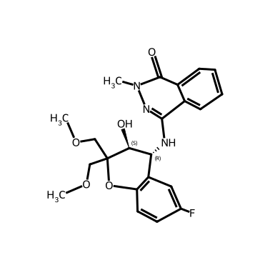 COCC1(COC)Oc2ccc(F)cc2[C@@H](Nc2nn(C)c(=O)c3ccccc23)[C@@H]1O